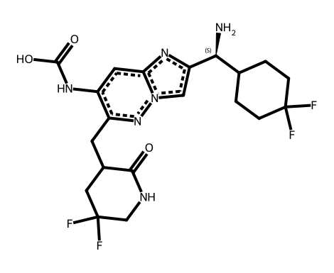 N[C@H](c1cn2nc(CC3CC(F)(F)CNC3=O)c(NC(=O)O)cc2n1)C1CCC(F)(F)CC1